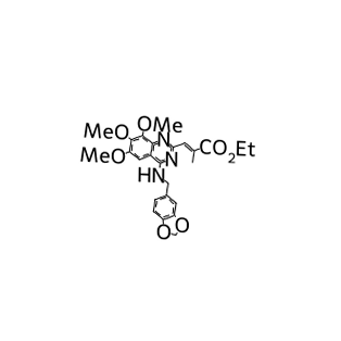 CCOC(=O)C(C)=Cc1nc(NCc2ccc3c(c2)OCO3)c2cc(OC)c(OC)c(OC)c2n1